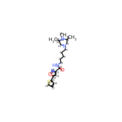 CC1CN(CCCCCNC(=O)c2cc(-c3cccs3)on2)CC(C)N1C